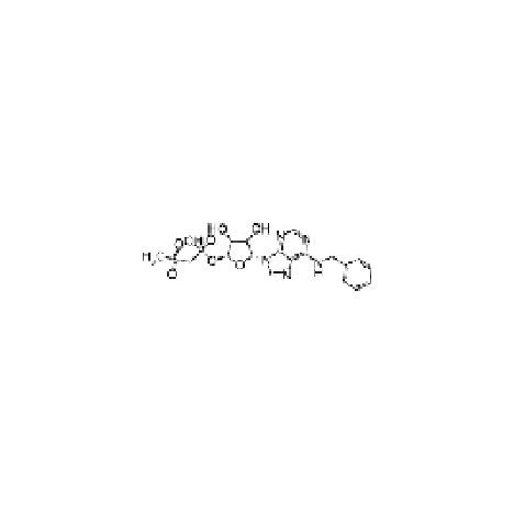 CS(=O)(=O)CP(=O)(O)O[C@@H]1O[C@@H](n2cnc3c(NCc4ccccc4)ncnc32)[C@H](O)[C@@H]1O